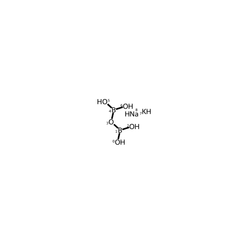 OB(O)OB(O)O.[KH].[NaH]